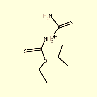 CCC.CCOC(N)=S.NC(O)=S